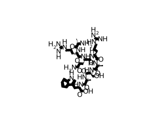 C[C@H](N)C(=O)N[C@@H](CCCNC(=N)N)C(=O)N[C@@H](CCC(N)=O)C(=O)N[C@@H](CCCNC(=N)N)C(=O)N[C@@H](C)C(=O)N[C@@H](CO)C(=O)N[C@@H](C)C(=O)NC(Cc1c[nH]c2ccccc12)C(=O)O